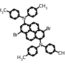 Cc1ccc(N(c2ccc(C)cc2)c2cc(Br)c3ccc4c(N(c5ccc(C)cc5)c5ccc(C)cc5)cc(Br)c5ccc2c3c54)cc1